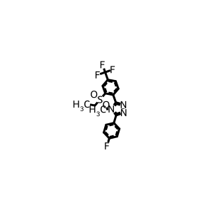 CCS(=O)(=O)c1cc(C(F)(F)F)ccc1-c1nnc(-c2ccc(F)cc2)n1C